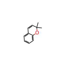 CC1(C)C=Cc2ccccc2O1